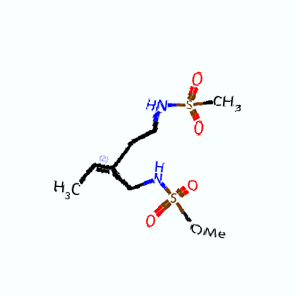 C/C=C(/CCNS(C)(=O)=O)CNS(=O)(=O)OC